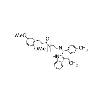 C=Cc1c(/C(=N\CCNC(=O)/C=C/c2cc(OC)ccc2OC)c2ccc(C)cc2)[nH]c2ccccc12